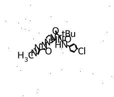 CN1C=C2C(=O)N(N3CCN(C(=O)C(NC(=O)Nc4ccc(Cl)cc4)C(C)(C)C)CC3)CN2C1